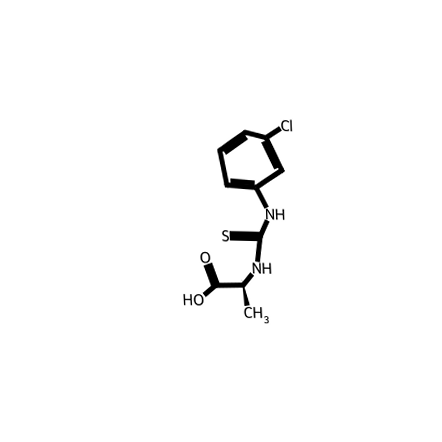 C[C@H](NC(=S)Nc1cccc(Cl)c1)C(=O)O